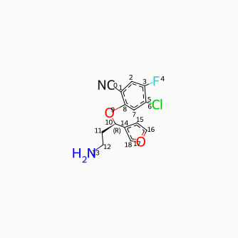 N#Cc1cc(F)c(Cl)cc1O[C@H](CCN)c1ccoc1